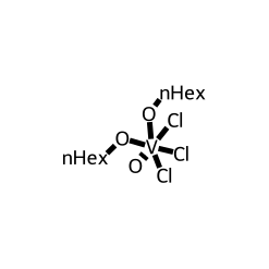 CCCCCC[O][V](=[O])([Cl])([Cl])([Cl])[O]CCCCCC